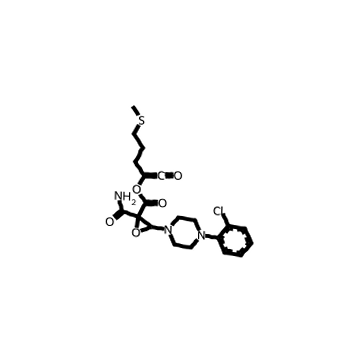 CSCCCC(=C=O)OC(=O)C1(C(N)=O)OC1N1CCN(c2ccccc2Cl)CC1